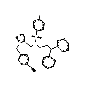 N#Cc1ccc(Cn2cnnc2CN(CCC(c2ccccc2)c2ccccc2)S(=O)(=O)c2ccc(F)cc2)cc1